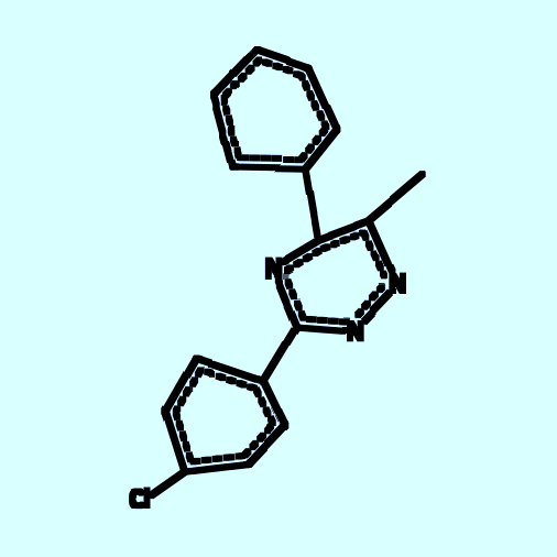 Cc1nnc(-c2ccc(Cl)cc2)nc1-c1ccccc1